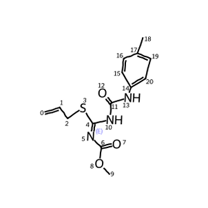 C=CCS/C(=N/C(=O)OC)NC(=O)Nc1ccc(C)cc1